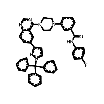 O=C(Nc1ccc(F)cc1)c1cccc(N2CCN(c3ncnc4ccc(-c5ccn(C(c6ccccc6)(c6ccccc6)c6ccccc6)n5)cc34)CC2)c1